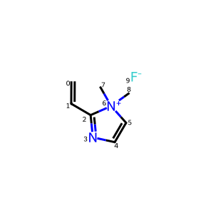 C=CC1=NC=C[N+]1(C)C.[F-]